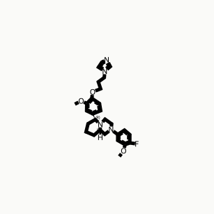 COc1cc(N2CCN3[C@@H](CCC[C@@H]3c3ccc(OCCCn4ccnc4)c(OC)c3)C2)ccc1F